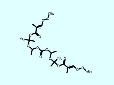 CCCCOO/C=C(\C)C(=O)OC(C)(OC(C)OC(=O)OC(C)OC(C)(OC(=O)/C(C)=C/OOCCCC)C(C)(C)C)C(C)(C)C